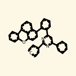 c1ccc(-c2cc(-c3ccccc3-c3ccc4c5c(cccc35)-c3ccccc3O4)nc(-c3ccccc3)n2)cc1